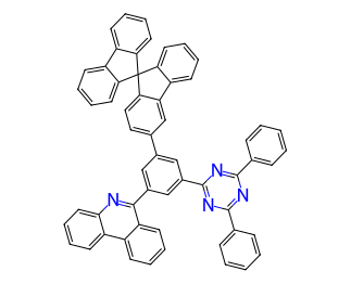 c1ccc(-c2nc(-c3ccccc3)nc(-c3cc(-c4ccc5c(c4)-c4ccccc4C54c5ccccc5-c5ccccc54)cc(-c4nc5ccccc5c5ccccc45)c3)n2)cc1